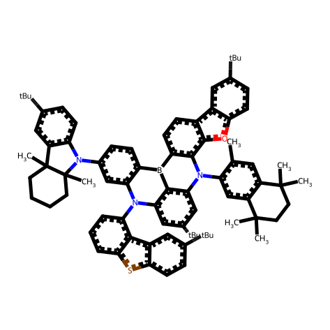 Cc1cc2c(cc1N1c3cc(C(C)(C)C)cc4c3B(c3ccc(N5c6ccc(C(C)(C)C)cc6C6(C)CCCCC56C)cc3N4c3cccc4sc5ccc(C(C)(C)C)cc5c34)c3ccc4c(oc5ccc(C(C)(C)C)cc54)c31)C(C)(C)CCC2(C)C